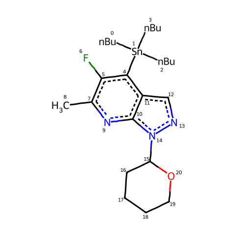 CCC[CH2][Sn]([CH2]CCC)([CH2]CCC)[c]1c(F)c(C)nc2c1cnn2C1CCCCO1